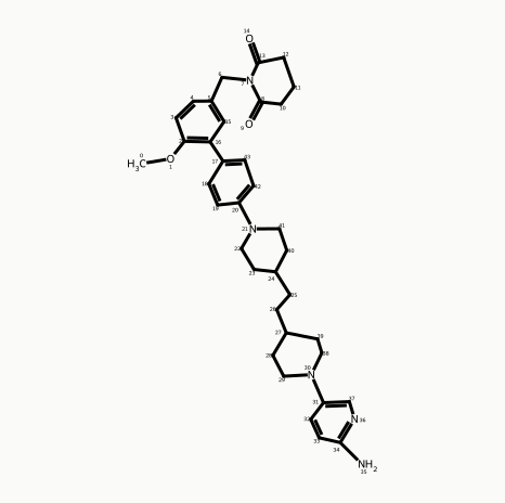 COc1ccc(CN2C(=O)CCCC2=O)cc1-c1ccc(N2CCC(CCC3CCN(c4ccc(N)nc4)CC3)CC2)cc1